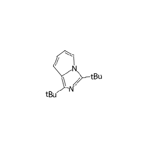 CC(C)(C)c1nc(C(C)(C)C)n2ccccc12